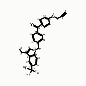 C#CCOc1ccc(C(=O)c2ccc(Cn3cc(CC)c4cc(C(F)(F)F)ccc43)cc2)cc1